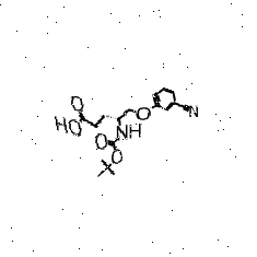 CC(C)(C)OC(=O)N[C@H](CCC(=O)O)COc1cccc(C#N)c1